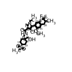 CCn1nc(C(=O)NC[C@]2(CO)CC[C@H](S(C)(=O)=O)CC2)c(Cl)c1-c1ccc(CC(C)C(F)(F)F)cc1OC